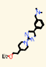 CCOCCC1CCN(c2ncc(-c3cccc(CN(C)C)c3)cn2)CC1